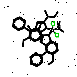 CCc1ccc2c(c1-c1ccccc1)C=C(C(C)CC)[CH]2[Zr]([Cl])([Cl])([CH]1C(C(C)CC)=Cc2c1ccc(CC)c2-c1ccccc1)[SiH](C)C